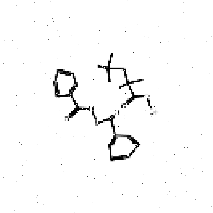 CC(C)(C)CC(C)(C)C(=O)OO.O=C(OOC(=O)c1ccccc1)c1ccccc1